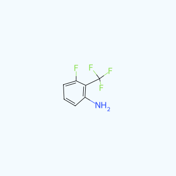 Nc1cccc(F)c1C(F)(F)F